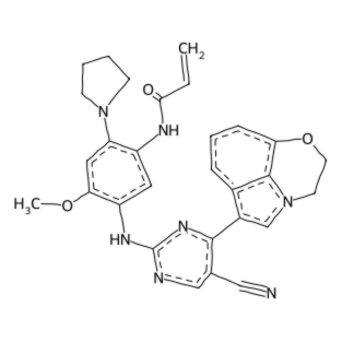 C=CC(=O)Nc1cc(Nc2ncc(C#N)c(-c3cn4c5c(cccc35)OCC4)n2)c(OC)cc1N1CCCC1